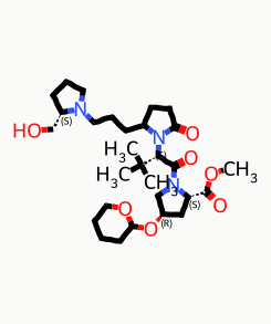 COC(=O)[C@@H]1C[C@@H](OC2CCCCO2)CN1C(=O)[C@@H](N1C(=O)CCC1CCCN1CCC[C@H]1CO)C(C)(C)C